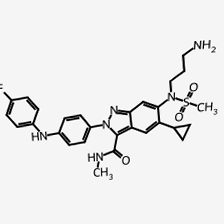 CNC(=O)c1c2cc(C3CC3)c(N(CCCN)S(C)(=O)=O)cc2nn1-c1ccc(Nc2ccc(F)cc2)cc1